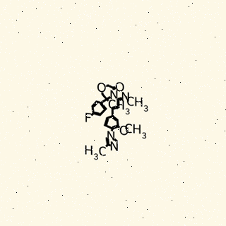 C/N=C(\C=C\c1ccc(-n2cnc(C)c2)c(OC)c1)N1C(=O)COCC1(C)c1ccc(F)cc1